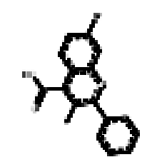 Cc1c(-c2ccccc2)nc2cc(Br)ccc2c1C(=O)O